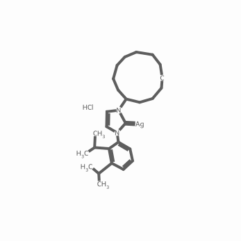 CC(C)c1cccc(-n2ccn(C3CCCCCCCCCCC3)[c]2=[Ag])c1C(C)C.Cl